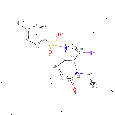 Cc1ccc(S(=O)(=O)n2cc(I)c3c2ccc(=O)n3CC(F)(F)F)cc1